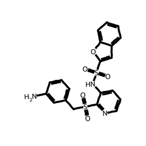 Nc1cccc(CS(=O)(=O)c2ncccc2NS(=O)(=O)c2cc3ccccc3o2)c1